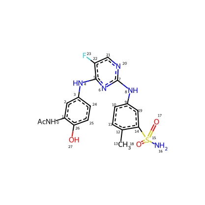 CC(=O)Nc1cc(Nc2nc(Nc3ccc(C)c(S(N)(=O)=O)c3)ncc2F)ccc1O